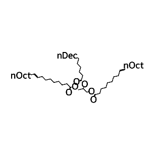 CCCCCCCCC=CCCCCCCCC(=O)OCC(COC(=O)CCCCCCCC=CCCCCCCCC)OC(=O)CCCCCCCCCCCCCCC